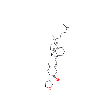 C1CCOC1.C=C1CC[C@H](O)C/C1=C/C=C1\CCC[C@]2(C)[C@@H]([C@H](C)CCCC(C)C)CC[C@@H]12